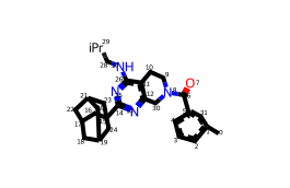 Cc1cccc(C(=O)N2CCc3c(nc(C45CC6CC(CC(C6)C4)C5)nc3NCC(C)C)C2)c1